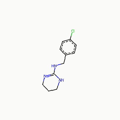 Clc1ccc(CNC2=NCCCN2)cc1